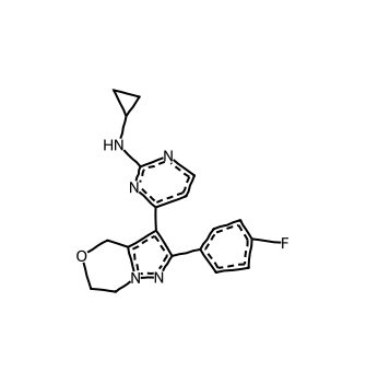 Fc1ccc(-c2nn3c(c2-c2ccnc(NC4CC4)n2)COCC3)cc1